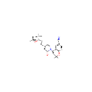 C[SiH](C)OC(CCc1ccn(C2=CC(C)(C)Oc3ccc(C#N)cc32)c(=O)c1)C(C)(C)C